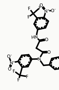 O=C(CC(=O)N(Cc1ccccc1)c1ccc([N+](=O)[O-])c(C(F)(F)F)c1)Nc1ccc([N+](=O)[O-])c(C(F)(F)F)c1